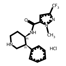 Cl.Cn1nc(C(F)(F)F)cc1C(=O)N[C@@H]1CCNC[C@@H]1c1ccccc1